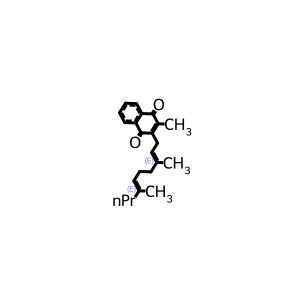 CCC/C(C)=C/CC/C(C)=C/CC1=C(C)C(=O)c2ccccc2C1=O